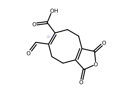 O=C/C1=C(\C(=O)O)CCC2=C(CC1)C(=O)OC2=O